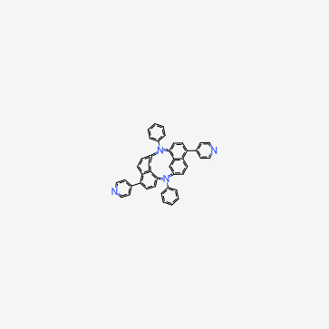 c1ccc(-n2c3ccc4c(-c5ccncc5)ccc(c4c3)n(-c3ccccc3)c3ccc4c(-c5ccncc5)ccc2c4c3)cc1